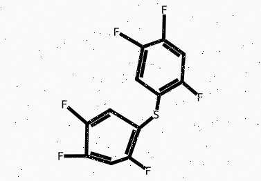 Fc1cc(F)c(Sc2cc(F)c(F)cc2F)cc1F